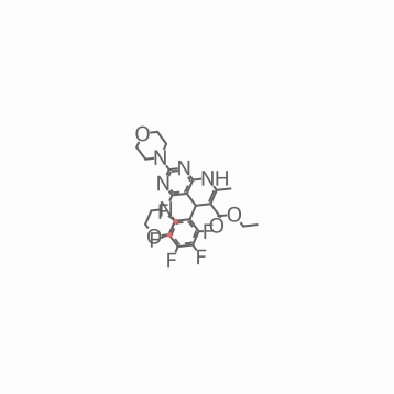 CCOC(=O)C1=C(C)Nc2nc(N3CCOCC3)nc(N3CCOCC3)c2C1c1c(F)c(F)c(F)c(F)c1F